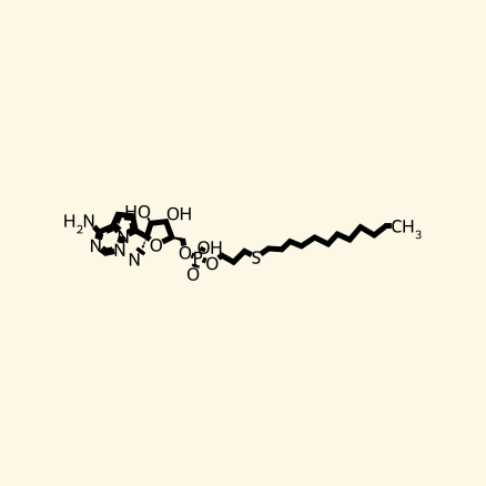 CCCCCCCCCCCCSCCCOP(=O)(O)OC[C@H]1O[C@@](C#N)(c2ccc3c(N)ncnn23)[C@H](O)[C@@H]1O